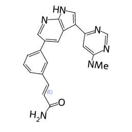 CNc1cc(-c2c[nH]c3ncc(-c4cccc(/C=C/C(N)=O)c4)cc23)ncn1